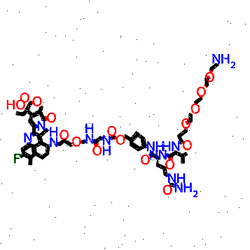 CC[C@@]1(O)C(=O)OCc2c1cc1n(c2=O)Cc2c-1nc1cc(F)c(C)c3c1c2[C@@H](NCC(=O)COCNC(=O)CNC(=O)OCc1ccc(NC(=O)[C@H](CCCNC(N)=O)NC(=O)[C@@H](NC(=O)CCOCCOCCOCCOCCN)C(C)C)cc1)CC3